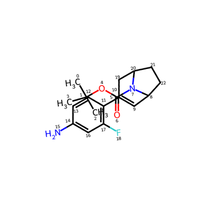 CC(C)(C)OC(=O)N1C2C=C(c3ccc(N)cc3F)CC1CC2